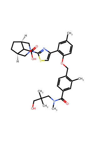 Cc1ccc(OCc2ccc(C(=O)N(C)CC(C)(C)CO)cc2C)c(-c2csc(N3C[C@H]4CC[C@@H](C3)C4C(=O)O)n2)c1